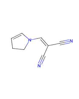 N#CC(C#N)=CN1C=CCC1